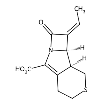 CC=C1C(=O)N2C(C(=O)O)=C3CCSC[C@@H]3[C@H]12